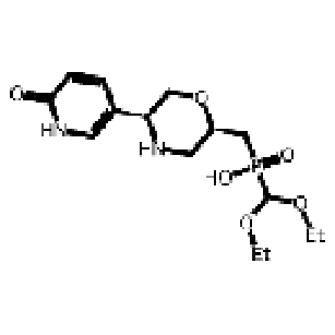 CCOC(OCC)P(=O)(O)C[C@H]1CN[C@@H](c2ccc(=O)[nH]c2)CO1